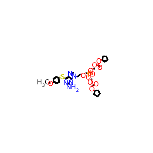 COc1ccc(Sc2nc(N)nc3c2ncn3CCOCP(=O)(OCOC(=O)OC2CCCC2)OCOC(=O)OC2CCCC2)cc1